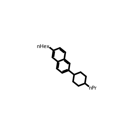 CCCCCCc1ccc2cc(C3CCC(CCC)CC3)ccc2c1